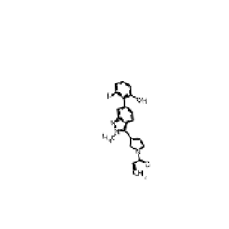 C=CC(=O)N1CC=C(c2c3ccc(-c4c(O)cccc4F)cc3nn2C)C1